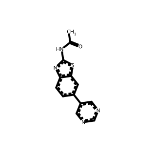 CC(=O)Nc1nc2ccc(-c3cncnc3)cc2s1